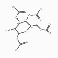 CCC(=O)OC[C@H]1OC(OC(=O)CC)[C@@H](NC(C)=O)[C@@H](OC(=O)CC)[C@@H]1OC(=O)CC